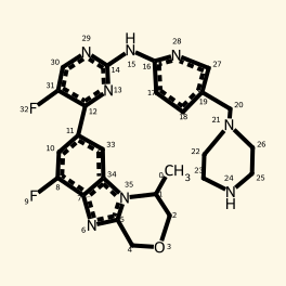 CC1COCc2nc3c(F)cc(-c4nc(Nc5ccc(CN6CCNCC6)cn5)ncc4F)cc3n21